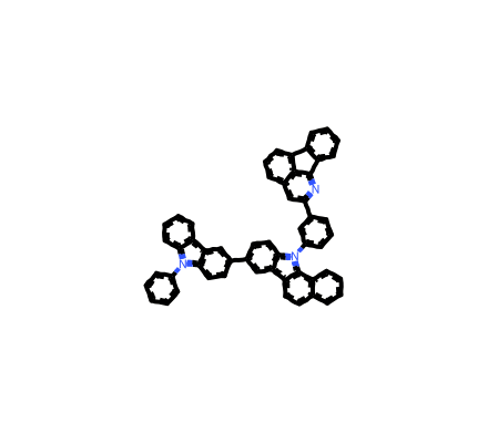 c1ccc(-n2c3ccccc3c3cc(-c4ccc5c(c4)c4ccc6ccccc6c4n5-c4cccc(-c5cc6cccc7c6c(n5)-c5ccccc5-7)c4)ccc32)cc1